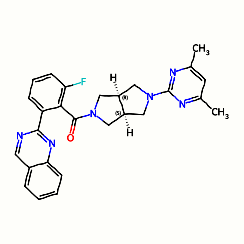 Cc1cc(C)nc(N2C[C@H]3CN(C(=O)c4c(F)cccc4-c4ncc5ccccc5n4)C[C@H]3C2)n1